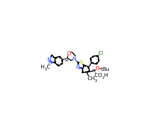 Cc1cc2nc(N3CCO[C@H](c4ccc5c(cnn5C)c4)C3)sc2c(-c2ccc(Cl)cc2)c1[C@H](OC(C)(C)C)C(=O)O